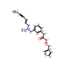 CCN(C/C=C/C#CC(C)(C)C)Cc1cccc(CC(=O)COCc2ccsc2)c1